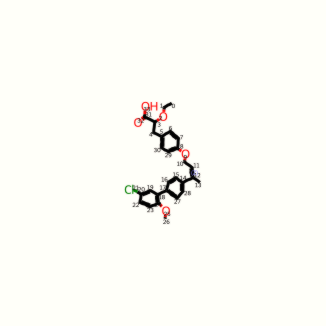 CCOC(Cc1ccc(OC/C=C(/C)c2ccc(-c3cc(Cl)ccc3OC)cc2)cc1)C(=O)O